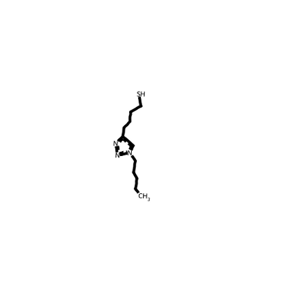 CCCCCn1cc(CCCCS)nn1